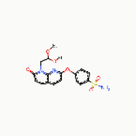 CCOC(Cn1c(=O)ccc2ccc(Oc3ccc(S(N)(=O)=O)cc3)nc21)OCC